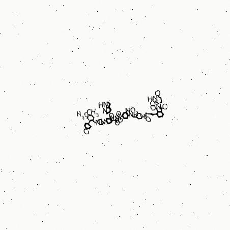 CC1(C)CCC(CN2CCN(c3ccc(C(=O)NS(=O)(=O)c4ccc(NCC5CCN(C(=O)CC#Cc6cccc7c6C(=O)N(C6CCC(=O)NC6=O)C7=O)CC5)c([N+](=O)[O-])c4)c(Oc4cnc5[nH]ccc5c4)c3)CC2)=C(c2ccc(Cl)cc2)C1